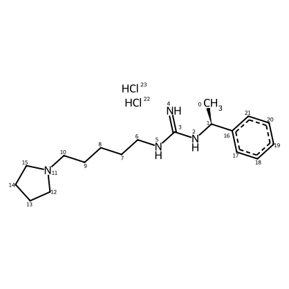 C[C@H](NC(=N)NCCCCCN1CCCC1)c1ccccc1.Cl.Cl